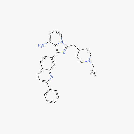 CCN1CCC(Cc2nc(-c3ccc4ccc(-c5ccccc5)nc4c3)c3c(N)cccn23)CC1